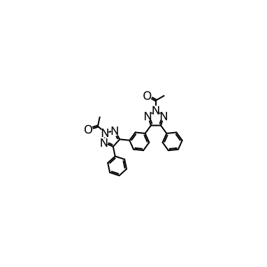 CC(=O)n1nc(-c2ccccc2)c(-c2cccc(-c3nn(C(C)=O)nc3-c3ccccc3)c2)n1